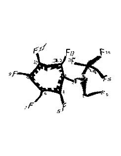 FCN(c1c(F)c(F)c(F)c(F)c1F)C(F)(F)F